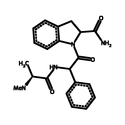 CN[C@@H](C)C(=O)NC(C(=O)N1c2ccccc2CC1C(N)=O)c1ccccc1